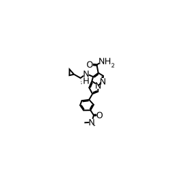 C[C@@H](Nc1c(C(N)=O)cnn2cc(-c3cccc(C(=O)N(C)C)c3)cc12)C1CC1